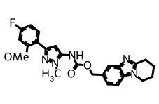 COc1cc(F)ccc1-c1cc(NC(=O)OCc2ccc3c(c2)nc2n3CCCC2)n(C)n1